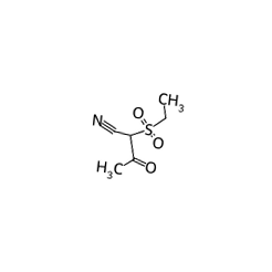 CCS(=O)(=O)C(C#N)C(C)=O